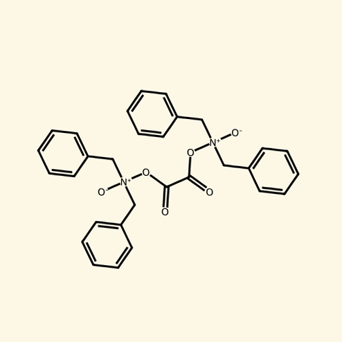 O=C(O[N+]([O-])(Cc1ccccc1)Cc1ccccc1)C(=O)O[N+]([O-])(Cc1ccccc1)Cc1ccccc1